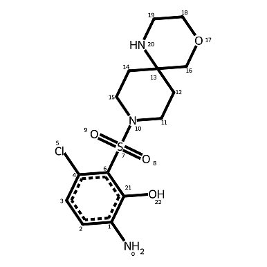 Nc1ccc(Cl)c(S(=O)(=O)N2CCC3(CC2)COCCN3)c1O